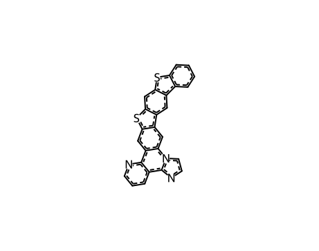 c1ccc2c(c1)sc1cc3sc4cc5c6ncccc6c6nccn6c5cc4c3cc12